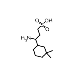 CC1(C)CCCC(C(N)CCS(=O)(=O)O)C1